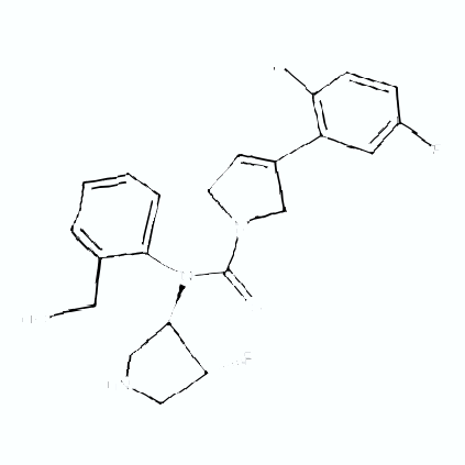 O=C(N1CC=C(c2cc(F)ccc2F)C1)N(c1ccccc1CO)[C@@H]1CNC[C@H]1F